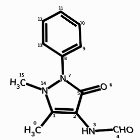 Cc1c(NC=O)c(=O)n(-c2ccccc2)n1C